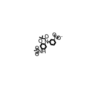 CC1(C)Oc2cc(NS(C)(=O)=O)ccc2N(c2cccc([N+](=O)[O-])c2)C1=O